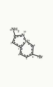 Nc1cc2ccc(Br)cn2n1